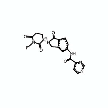 O=C(Nc1ccc2c(c1)CN([C@H]1CCC(=O)N(F)C1=O)C2=O)c1ccncn1